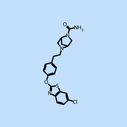 NC(=O)N1CC2CC1CN2CCc1ccc(Oc2nc3ccc(Cl)cc3s2)cc1